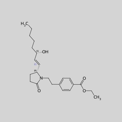 CCCCC[C@H](O)/C=C/[C@H]1CCC(=O)N1CCc1ccc(C(=O)OCC)cc1